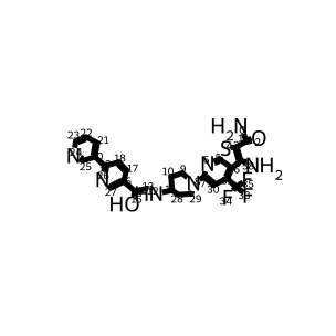 NC(=O)c1sc2nc(N3CCC(NCC(O)c4ccc(-c5cccnc5)nc4)CC3)cc(C(F)(F)F)c2c1N